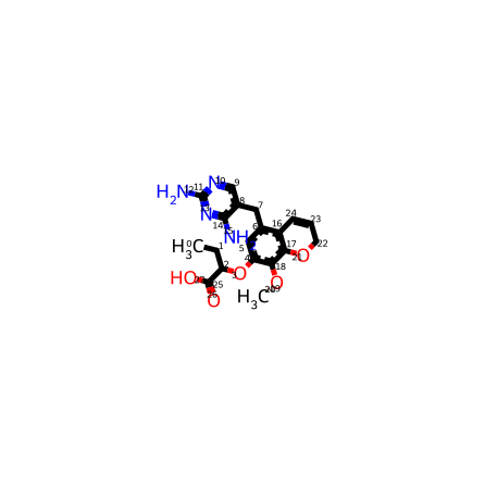 CCC(Oc1cc(Cc2cnc(N)nc2N)c2c(c1OC)OCC=C2)C(=O)O